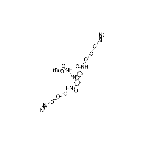 CC(C)(C)OC(=O)NCCCn1c2cc(C(=O)NCCOCCOCCOCCN=[N+]=[N-])ccc2c2ccc(C(=O)NCCOCCOCCOCCN=[N+]=[N-])cc21